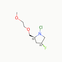 COCCOC[C@@H]1C[C@H](F)CN1Cl